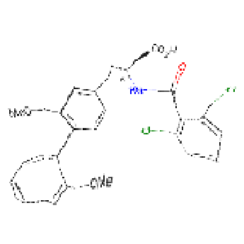 COc1ccccc1-c1ccc(C[C@H](NC(=O)c2c(Cl)cccc2Cl)C(=O)O)cc1OC